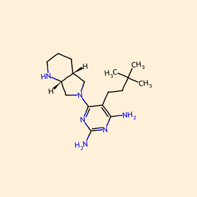 CC(C)(C)CCc1c(N)nc(N)nc1N1C[C@H]2CCCN[C@H]2C1